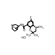 CN1CC(C)(C)Oc2c(C(=O)NC3CN4CCC3CC4)cc(F)cc21.Cl